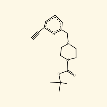 C#Cc1cccc(CN2CCN(C(=O)OC(C)(C)C)CC2)n1